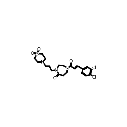 O=C(C=Cc1ccc(Cl)c(Cl)c1)N1CCC(=O)N(CCCN2CCS(=O)(=O)CC2)CC1